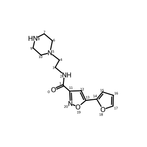 O=C(NCCN1CCNCC1)c1cc(-c2ccco2)on1